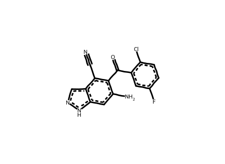 N#Cc1c(C(=O)c2cc(F)ccc2Cl)c(N)cc2[nH]ncc12